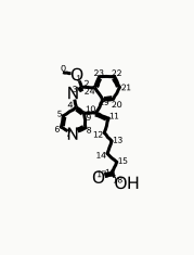 COC1=Nc2ccncc2/C(=C\CCCCC(=O)O)c2ccccc21